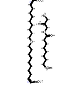 CCCCCCCC/C=C\CCCCCCCCOCCCCCCCC/C=C\CCCCCCCC.CCCCCCCCCCCCCCCCCC(=O)OCC(O)CO